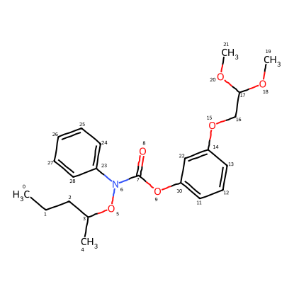 CCCC(C)ON(C(=O)Oc1cccc(OCC(OC)OC)c1)c1ccccc1